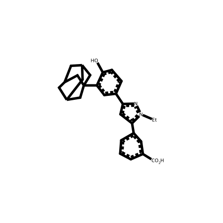 CCn1nc(-c2ccc(O)c(C34CC5CC(CC(C5)C3)C4)c2)cc1-c1cccc(C(=O)O)c1